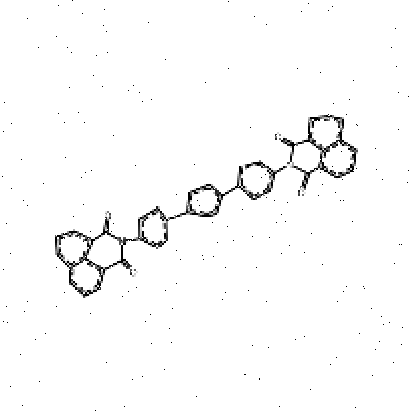 O=C1c2cccc3cccc(c23)C(=O)N1c1ccc(-c2ccc(-c3ccc(N4C(=O)c5cccc6cccc(c56)C4=O)cc3)cc2)cc1